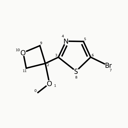 COC1(c2ncc(Br)s2)COC1